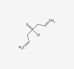 C=CCP(=S)(Cl)CC=C